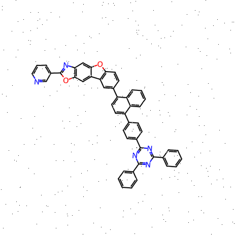 c1ccc(-c2nc(-c3ccccc3)nc(-c3ccc(-c4ccc(-c5ccc6oc7cc8nc(-c9cccnc9)oc8cc7c6c5)c5ccccc45)cc3)n2)cc1